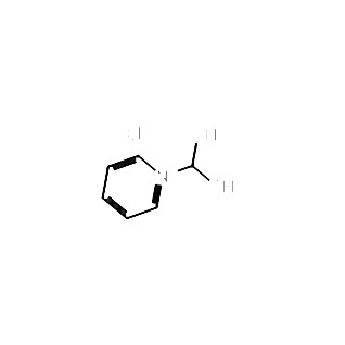 CC(O)[n+]1ccccc1.[Cl-]